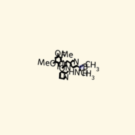 CB/C=C(\C(C)=N)c1cc2c(cn1)CN(c1c(F)c(OC)cc(OC)c1F)C(=O)N2Cc1ccccn1